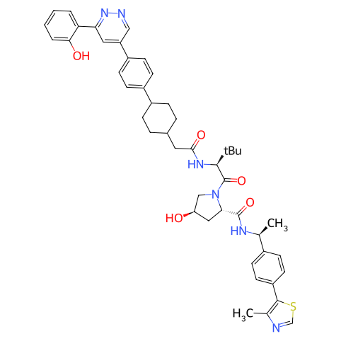 Cc1ncsc1-c1ccc([C@H](C)NC(=O)[C@@H]2C[C@@H](O)CN2C(=O)[C@@H](NC(=O)CC2CCC(c3ccc(-c4cnnc(-c5ccccc5O)c4)cc3)CC2)C(C)(C)C)cc1